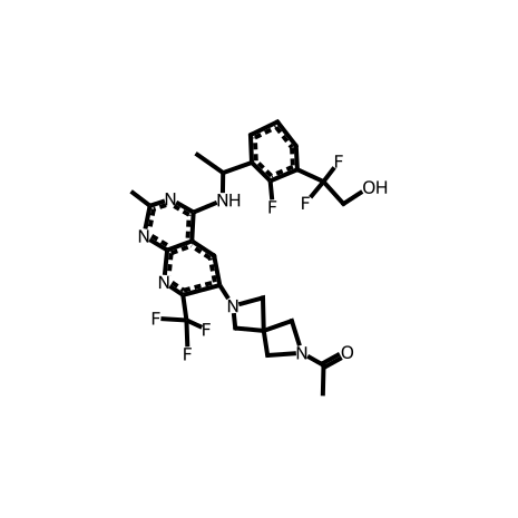 CC(=O)N1CC2(C1)CN(c1cc3c(NC(C)c4cccc(C(F)(F)CO)c4F)nc(C)nc3nc1C(F)(F)F)C2